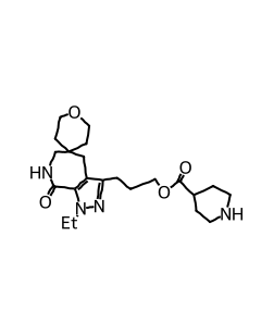 CCn1nc(CCCOC(=O)C2CCNCC2)c2c1C(=O)NCC1(CCOCC1)C2